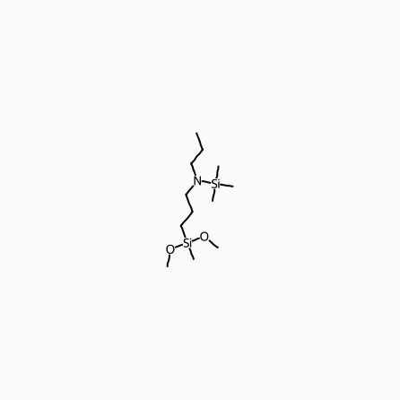 CCCN(CCC[Si](C)(OC)OC)[Si](C)(C)C